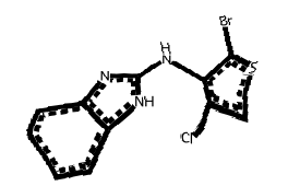 Clc1csc(Br)c1Nc1nc2ccccc2[nH]1